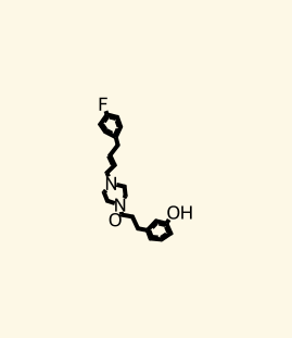 O=C(CCc1cccc(O)c1)N1CCN(C/C=C/Cc2ccc(F)cc2)CC1